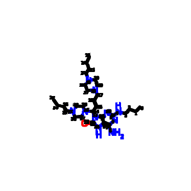 CCCCNc1nc(N)c2[nH]c(=O)n(C(CCCN3CCN(CCCC)CC3)N3CCN(CCCC)CC3)c2n1